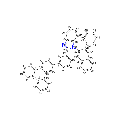 c1cc(-c2ccc3c4ccccc4c4ccccc4c3c2)cc(-c2nc3cccc4c3n2-c2cc3ccccc3cc2-c2ccccc2-4)c1